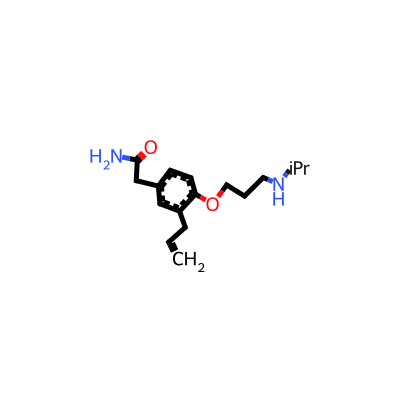 C=CCc1cc(CC(N)=O)ccc1OCCCNC(C)C